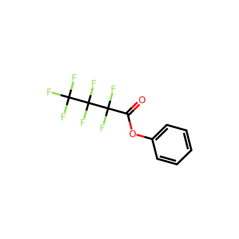 O=C(Oc1ccccc1)C(F)(F)C(F)(F)C(F)(F)F